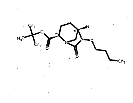 CCCCON1C(=O)N2C[C@@H]1CC[C@@H]2C(=O)OC(C)(C)C